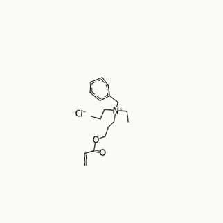 C=CC(=O)OCCC[N+](CC)(CCC)Cc1ccccc1.[Cl-]